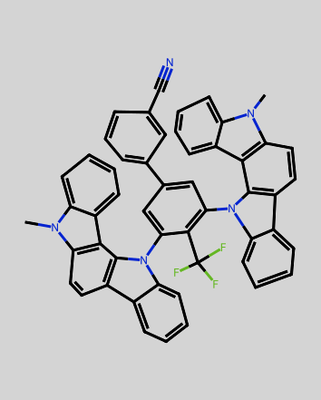 Cn1c2ccccc2c2c1ccc1c3ccccc3n(-c3cc(-c4cccc(C#N)c4)cc(-n4c5ccccc5c5ccc6c(c7ccccc7n6C)c54)c3C(F)(F)F)c12